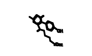 CCCCCCCCCCCCCCC(C)c1cc(C)cc(C)c1-c1ccc(O)cc1